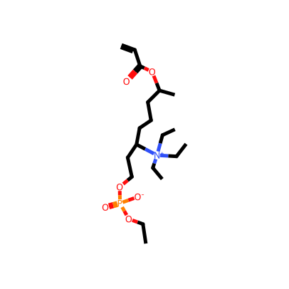 C=CC(=O)OC(C)CCCC(CCOP(=O)([O-])OCC)[N+](CC)(CC)CC